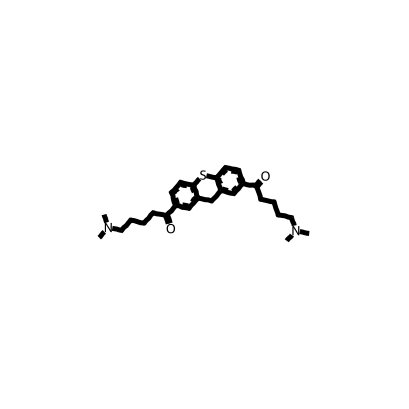 CN(C)CCCCC(=O)c1ccc2c(c1)Cc1cc(C(=O)CCCCN(C)C)ccc1S2